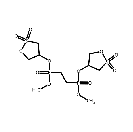 COP(=O)(CCP(=O)(OC)OC1COS(=O)(=O)C1)OC1COS(=O)(=O)C1